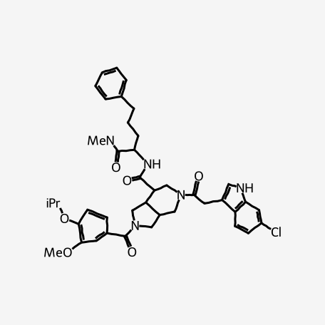 CNC(=O)C(CCCc1ccccc1)NC(=O)C1CN(C(=O)Cc2c[nH]c3cc(Cl)ccc23)CC2CN(C(=O)c3ccc(OC(C)C)c(OC)c3)CC21